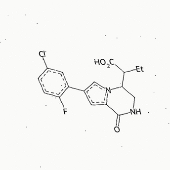 CCC(C(=O)O)C1CNC(=O)c2cc(-c3cc(Cl)ccc3F)cn21